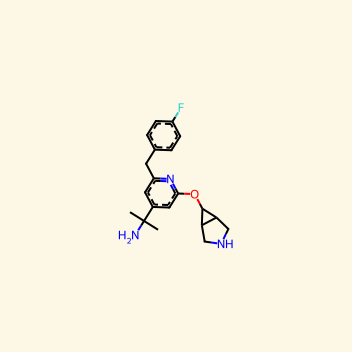 CC(C)(N)c1cc(Cc2ccc(F)cc2)nc(OC2C3CNCC32)c1